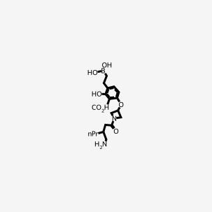 CCCC(CN)CC(=O)N1CC(Oc2ccc(CCB(O)O)c(O)c2C(=O)O)C1